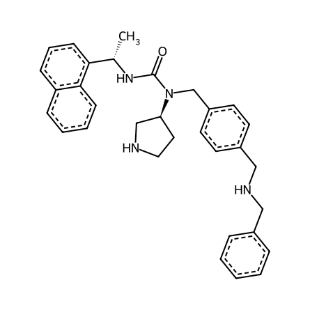 C[C@H](NC(=O)N(Cc1ccc(CNCc2ccccc2)cc1)[C@H]1CCNC1)c1cccc2ccccc12